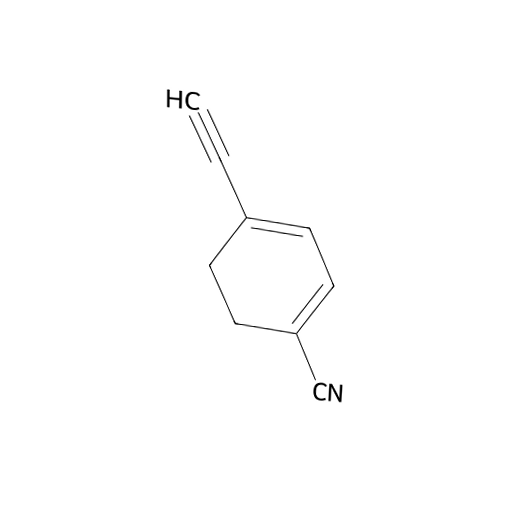 C#CC1=CC=C(C#N)CC1